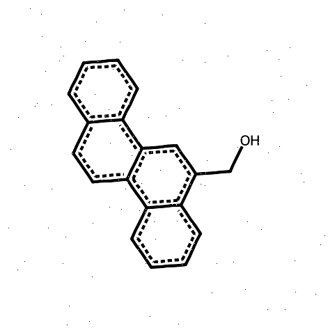 OCc1cc2c3ccccc3ccc2c2ccccc12